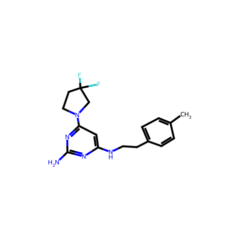 Cc1ccc(CCNc2cc(N3CCC(F)(F)C3)nc(N)n2)cc1